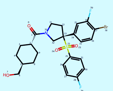 O=C([C@H]1CC[C@H](CO)CC1)N1CC[C@](c2ccc(Br)c(F)c2)(S(=O)(=O)c2ccc(F)cc2)C1